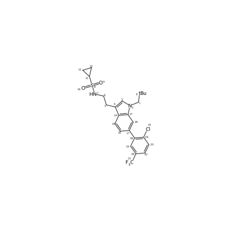 CC(C)(C)Cn1cc(CCNS(=O)(=O)C2CC2)c2ccc(-c3cc(C(F)(F)F)ccc3Cl)cc21